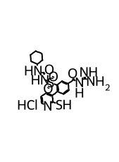 Cl.N=C(N)NC(=O)c1ccc(-c2cccnc2S)c(S(=O)(=O)NC(=O)NC2CCCCC2)c1